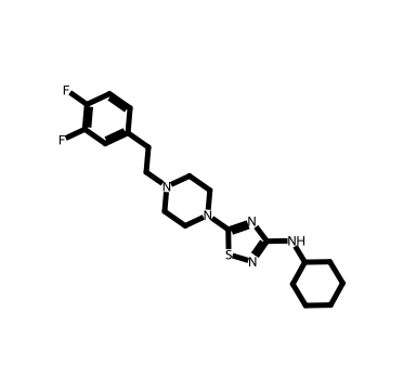 Fc1ccc(CCN2CCN(c3nc(NC4CCCCC4)ns3)CC2)cc1F